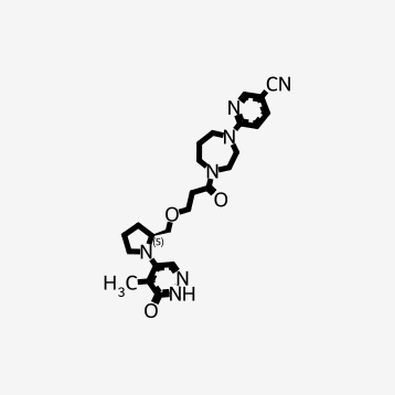 Cc1c(N2CCC[C@H]2COCCC(=O)N2CCCN(c3ccc(C#N)cn3)CC2)cn[nH]c1=O